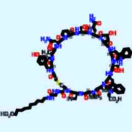 CCCC[C@H]1C(=O)N(C)[C@@H](CCCC)C(=O)N[C@@H](CC(C)C)C(=O)N[C@H](C(=O)NCC(=O)NCCCCCCCCCCC(=O)O)CSCC(=O)N[C@@H](Cc2ccc(O)cc2)C(=O)N(C)[C@@H](C)C(=O)N[C@@H](CC(N)=O)C(=O)N2CCC[C@H]2C(=O)N[C@@H](CO)C(=O)N[C@H](CCC(N)=O)C(=O)N2C[C@H](O)C[C@H]2C(=O)N[C@@H](Cc2c[nH]c3ccccc23)C(=O)N[C@@H](CO)C(=O)N[C@@H](Cc2cn(CC(=O)O)c3ccccc23)C(=O)N1C